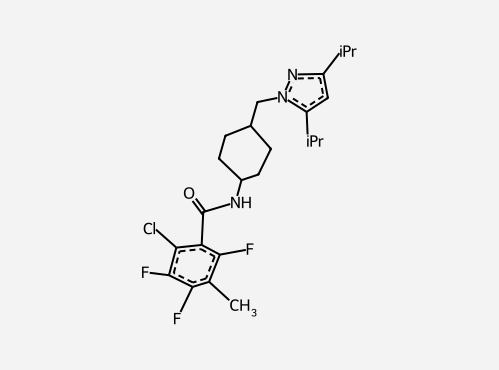 Cc1c(F)c(F)c(Cl)c(C(=O)NC2CCC(Cn3nc(C(C)C)cc3C(C)C)CC2)c1F